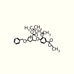 CCOC(=O)c1ccc(OCC2CC(OCc3ccccc3)CN2C(=O)OC(C)(C)C)c(OC)c1